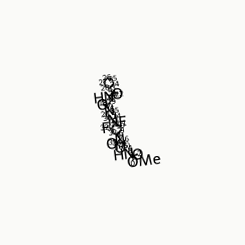 COC(=O)NC[C@H]1CN(c2cc(F)c(N3CCN(C(=O)CNC(=O)c4ccccc4)CC3)c(F)c2)C(=O)O1